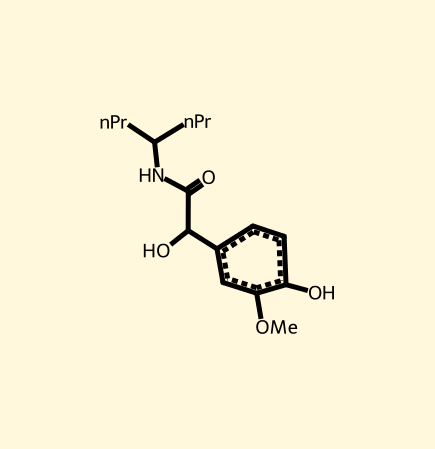 CCCC(CCC)NC(=O)C(O)c1ccc(O)c(OC)c1